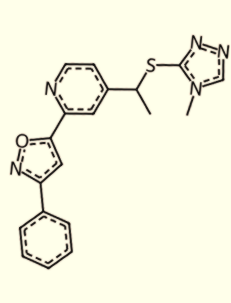 CC(Sc1nncn1C)c1ccnc(-c2cc(-c3ccccc3)no2)c1